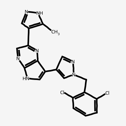 Cc1[nH]ncc1-c1cnc2[nH]cc(-c3cnn(Cc4c(Cl)cccc4Cl)c3)c2n1